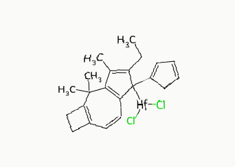 CCC1=C(C)C2=C(C=CC3=C(CC3)C2(C)C)[C]1(C1=CC=CC1)[Hf]([Cl])[Cl]